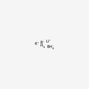 [BH4-].[BH4-].[K+].[Li+]